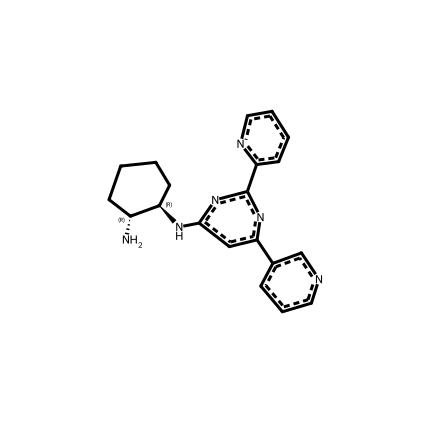 N[C@@H]1CCCC[C@H]1Nc1cc(-c2cccnc2)nc(-c2ccccn2)n1